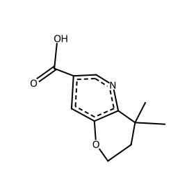 CC1(C)CCOc2cc(C(=O)O)cnc21